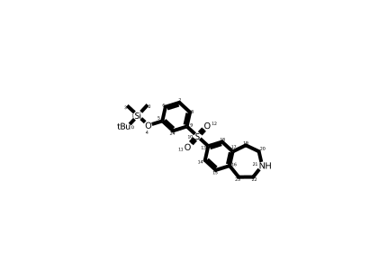 CC(C)(C)[Si](C)(C)Oc1cccc(S(=O)(=O)c2ccc3c(c2)CCNCC3)c1